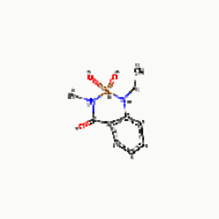 CC(C)N1C(=O)c2ccccc2N(CC#N)S1(=O)=O